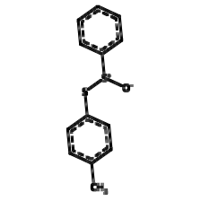 Cc1ccc(S[S+]([O-])c2ccccc2)cc1